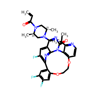 C=CC(=O)N1C[C@H](C)N(c2nc(=O)n3c4nc(c(F)cc24)-c2cc(F)c(F)cc2OCCOc2ccnc(C(C)C)c2-3)C[C@H]1C